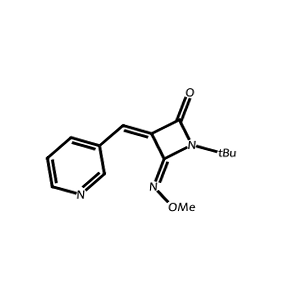 CON=C1C(=Cc2cccnc2)C(=O)N1C(C)(C)C